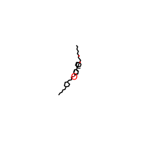 CCCCCCCCC12CCC(c3ccc(OCCCC4CCC(CCCCC)CC4)cc3)(CC1)CC2